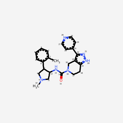 Cc1ccccc1C1CN(C)CC1NC(=O)N1CCc2[nH]nc(-c3ccncc3)c2C1